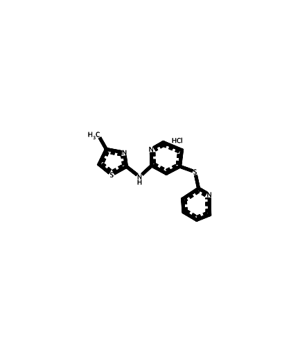 Cc1csc(Nc2cc(Sc3ccccn3)ccn2)n1.Cl